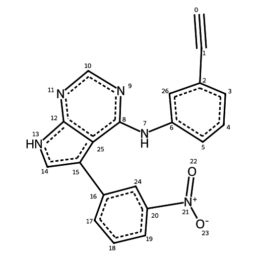 C#Cc1cccc(Nc2ncnc3[nH]cc(-c4cccc([N+](=O)[O-])c4)c23)c1